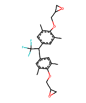 Cc1cc(C(c2cc(C)c(OCC3CO3)c(C)c2)C(F)(F)F)cc(C)c1OCC1CO1